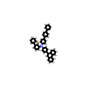 c1ccc(-c2ccc(-c3ccc(N(c4ccc(-c5cc6ccccc6c6ccccc56)cc4)c4cccc5c4sc4ccccc45)cc3)cc2)cc1